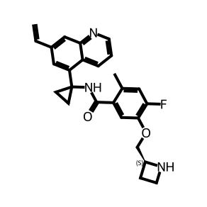 C=Cc1cc(C2(NC(=O)c3cc(OC[C@@H]4CCN4)c(F)cc3C)CC2)c2cccnc2c1